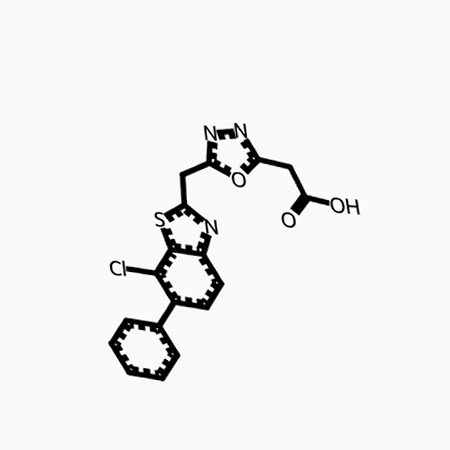 O=C(O)Cc1nnc(Cc2nc3ccc(-c4ccccc4)c(Cl)c3s2)o1